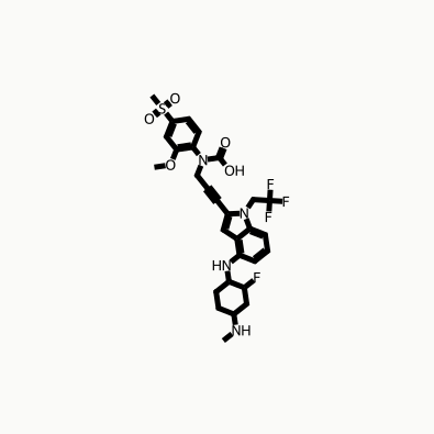 CNC1CCC(Nc2cccc3c2cc(C#CCN(C(=O)O)c2ccc(S(C)(=O)=O)cc2OC)n3CC(F)(F)F)C(F)C1